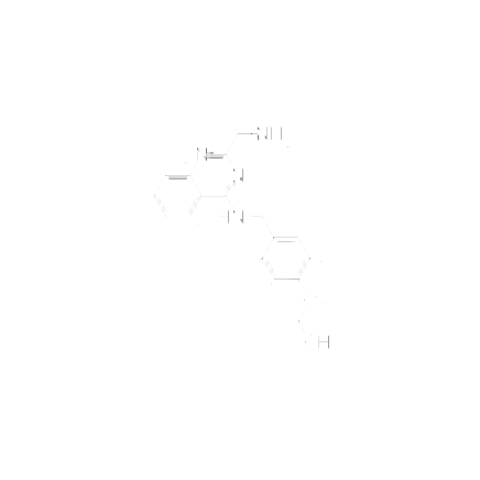 CCOc1ccc(CNc2nc(CN)nc3ccccc23)cc1